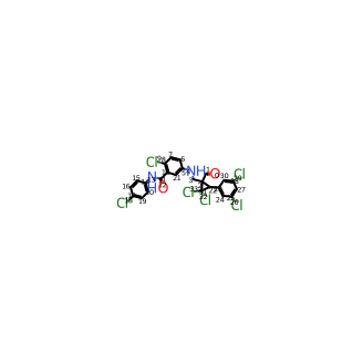 O=CC1(CNc2ccc(Cl)c(C(=O)Nc3ccc(Cl)cc3)c2)C(c2cc(Cl)cc(Cl)c2)C1(Cl)Cl